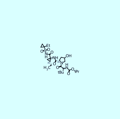 C=C[C@@H]1C[C@]1(NC(=O)[C@@H]1CC(O)CN1C(=O)[C@@H](NC(=O)OC(C)C)C(C)(C)C)C(=O)NS(=O)(=O)C1(CC)CC1